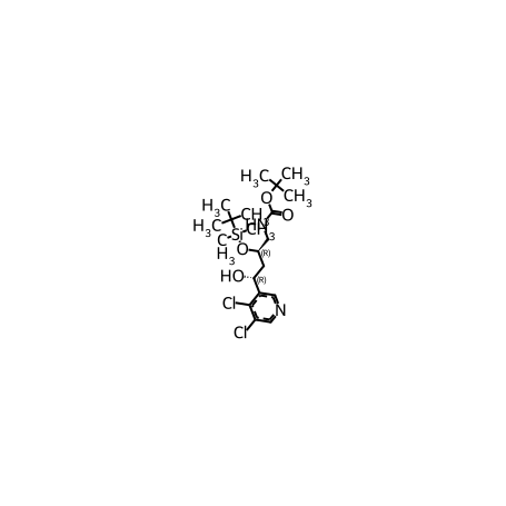 CC(C)(C)OC(=O)NC[C@@H](C[C@@H](O)c1cncc(Cl)c1Cl)O[Si](C)(C)C(C)(C)C